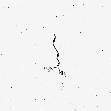 CC=CC=CC=C(N)N